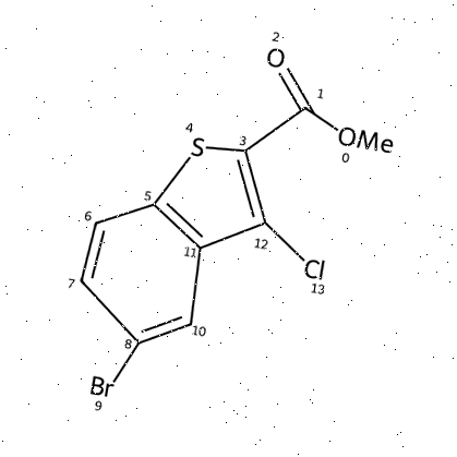 COC(=O)c1sc2ccc(Br)cc2c1Cl